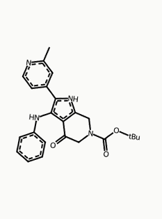 Cc1cc(-c2[nH]c3c(c2Nc2ccccc2)C(=O)CN(C(=O)OC(C)(C)C)C3)ccn1